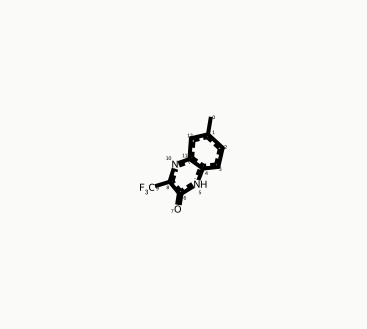 Cc1ccc2[nH]c(=O)c(C(F)(F)F)nc2c1